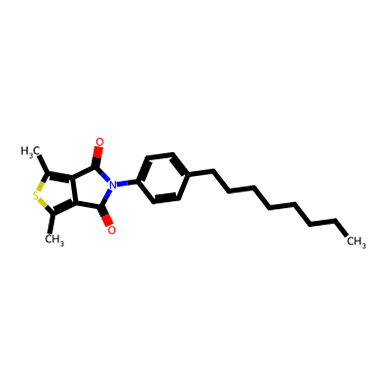 CCCCCCCCc1ccc(N2C(=O)c3c(C)sc(C)c3C2=O)cc1